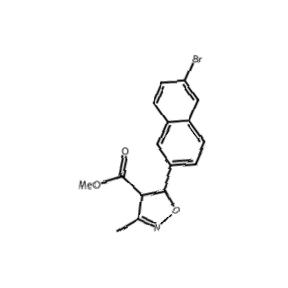 COC(=O)C1C(C)=NOC1c1ccc2cc(Br)ccc2c1